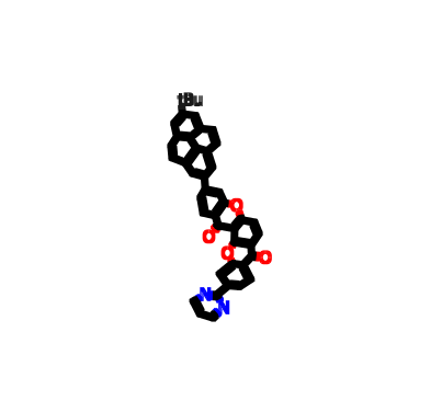 CC(C)(C)c1cc2ccc3cc(-c4ccc5c(=O)c6c(ccc7c(=O)c8ccc(-c9ncccn9)cc8oc76)oc5c4)cc4ccc(c1)c2c34